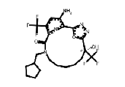 Nc1cc(C(F)(F)F)c2nc1-c1nnc(o1)[C@@](O)(C(F)(F)F)CCCCCN(CC1CCCC1)C2=O